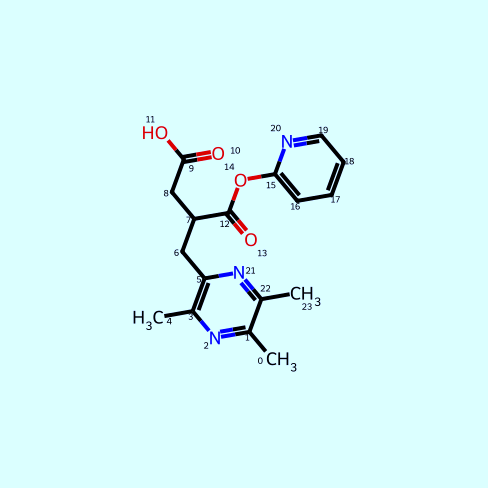 Cc1nc(C)c(CC(CC(=O)O)C(=O)Oc2ccccn2)nc1C